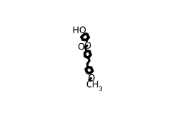 CCOc1ccc(CCc2ccc(C(=O)Oc3ccc(O)cc3)cc2)cc1